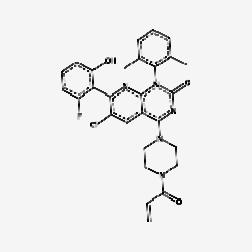 C=CC(=O)N1CCN(c2nc(=O)n(-c3c(C)cccc3C)c3nc(-c4c(O)cccc4F)c(Cl)cc23)CC1